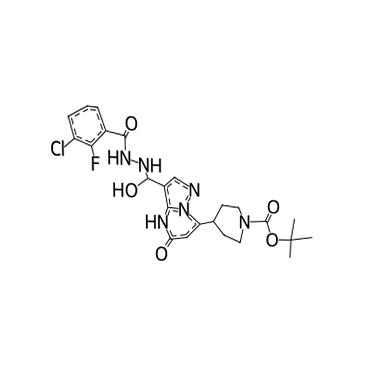 CC(C)(C)OC(=O)N1CCC(c2cc(=O)[nH]c3c(C(O)NNC(=O)c4cccc(Cl)c4F)cnn23)CC1